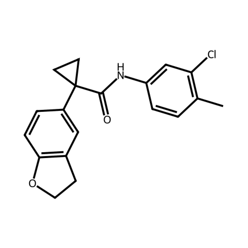 Cc1ccc(NC(=O)C2(c3ccc4c(c3)CCO4)CC2)cc1Cl